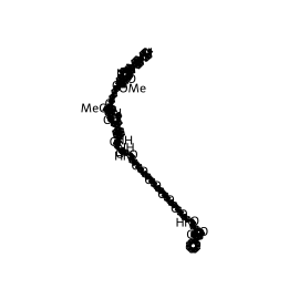 COc1cc2c(cc1OCCCCCOc1cc3c(cc1OC)C(=O)N1C=C(c4ccc(N5CCN(C)CC5)cc4)CC1C=N3)N=CC1CC(c3ccc(NC(=O)C(C)NC(=O)CNC(=O)CCOCCOCCOCCOCCOCCOCCOCCOCCNC(=O)CCN4C(=O)CC(C5CCCCCCC5)C4=O)cc3)=CN1C2=O